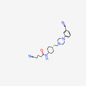 N#CCCCC(=O)N[C@H]1CC[C@H](CCN2CCN(c3cccc(C#N)c3)CC2)CC1